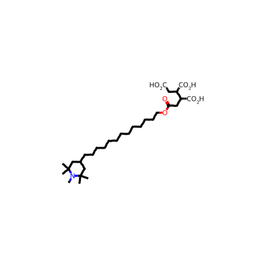 CN1C(C)(C)CC(CCCCCCCCCCCCCOC(=O)CC(C(=O)O)C(CC(=O)O)C(=O)O)CC1(C)C